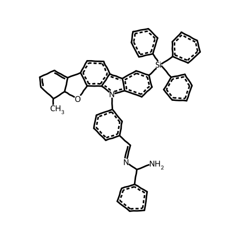 CC1C=CC=C2c3ccc4c5cc([Si](c6ccccc6)(c6ccccc6)c6ccccc6)ccc5n(-c5cccc(/C=N/C(N)c6ccccc6)c5)c4c3OC21